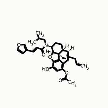 C=CCN1CC[C@]23c4c5c(OC(C)=O)cc(O)c4O[C@H]2[C@@H](N(CC(C)C)C(=O)/C=C/c2ccoc2)CC[C@H]3[C@H]1C5